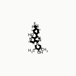 C[C@@H]1CN(c2nnc(-c3ccc(C(F)(F)F)cc3O)c3cnccc23)C[C@H](C)[C@H]1O